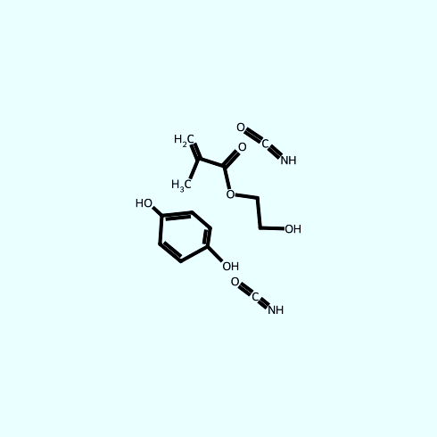 C=C(C)C(=O)OCCO.N=C=O.N=C=O.Oc1ccc(O)cc1